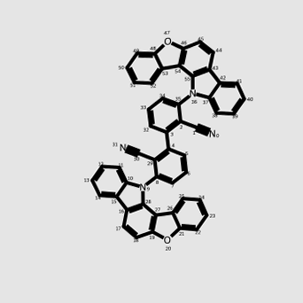 N#Cc1c(-c2cccc(-n3c4ccccc4c4ccc5oc6ccccc6c5c43)c2C#N)cccc1-n1c2ccccc2c2ccc3oc4ccccc4c3c21